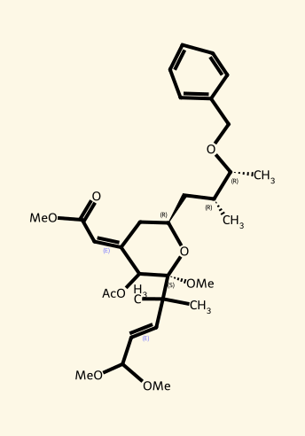 COC(=O)/C=C1\C[C@@H](C[C@@H](C)[C@@H](C)OCc2ccccc2)O[C@@](OC)(C(C)(C)/C=C/C(OC)OC)C1OC(C)=O